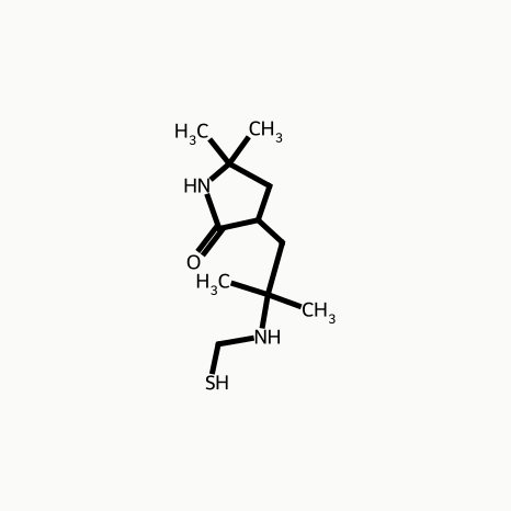 CC(C)(CC1CC(C)(C)NC1=O)NCS